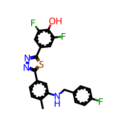 Cc1ccc(-c2nnc(-c3cc(F)c(O)c(F)c3)s2)cc1NCc1ccc(F)cc1